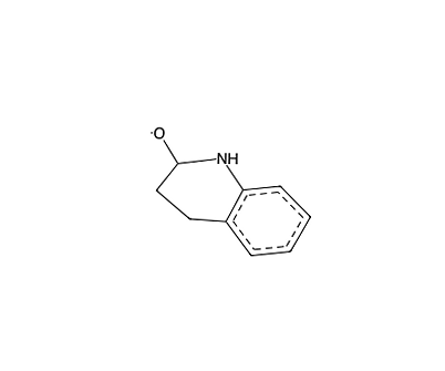 [O]C1CCc2ccccc2N1